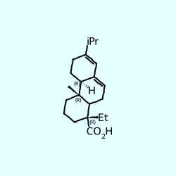 CC[C@@]1(C(=O)O)CCC[C@@]2(C)C1CC=C1C=C(C(C)C)CC[C@@H]12